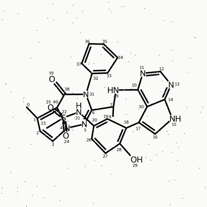 Cc1ccn2nc(C(C)Nc3ncnc4[nH]cc(-c5cc(NS(C)(=O)=O)ccc5O)c34)n(-c3ccccc3)c(=O)c12